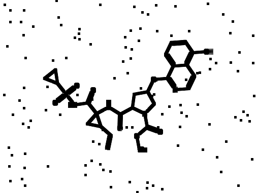 C=CC1CC1(NC(=O)C1CC(Oc2nccc3c(O)cccc23)CN1C(=O)OC(C)(C)C)C(=O)NS(=O)(=O)C1CC1